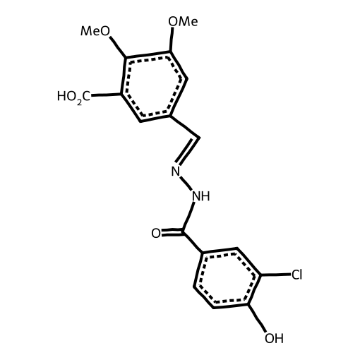 COc1cc(/C=N/NC(=O)c2ccc(O)c(Cl)c2)cc(C(=O)O)c1OC